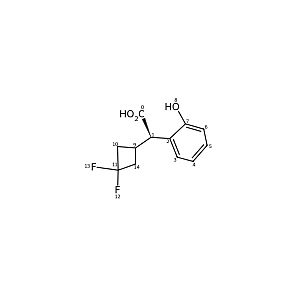 O=C(O)[C@@H](c1ccccc1O)C1CC(F)(F)C1